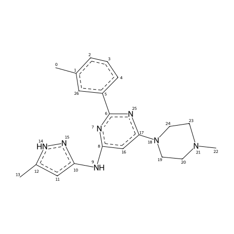 Cc1cccc(-c2nc(Nc3cc(C)[nH]n3)cc(N3CCN(C)CC3)n2)c1